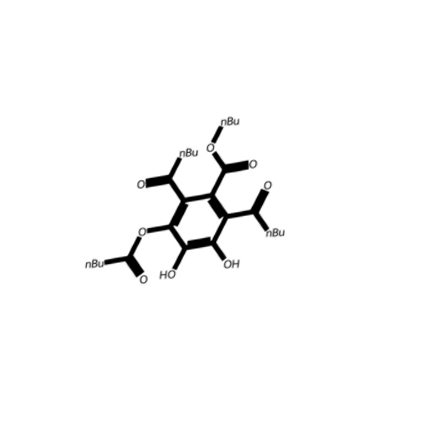 CCCCOC(=O)c1c(C(=O)CCCC)c(O)c(O)c(OC(=O)CCCC)c1C(=O)CCCC